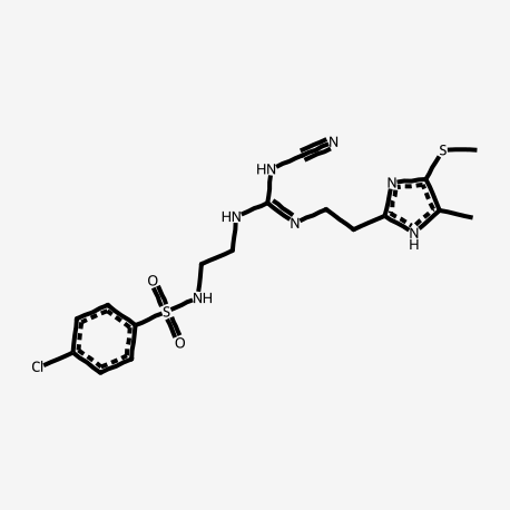 CSc1nc(CCN=C(NC#N)NCCNS(=O)(=O)c2ccc(Cl)cc2)[nH]c1C